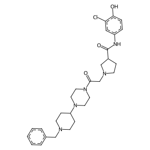 O=C(Nc1ccc(O)c(Cl)c1)C1CCN(CC(=O)N2CCN(C3CCN(Cc4ccccc4)CC3)CC2)C1